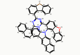 c1ccc2cc3c(cc2c1)c1ccccc1n3-c1c(C2=NC(c3cccc4sc5ccccc5c34)=NC(c3cccc4ccccc34)N2)ccc2oc3ccccc3c12